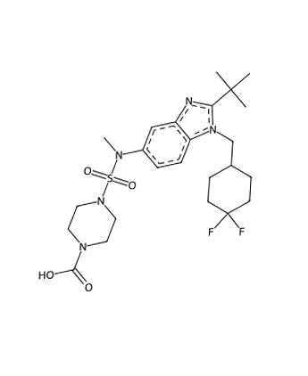 CN(c1ccc2c(c1)nc(C(C)(C)C)n2CC1CCC(F)(F)CC1)S(=O)(=O)N1CCN(C(=O)O)CC1